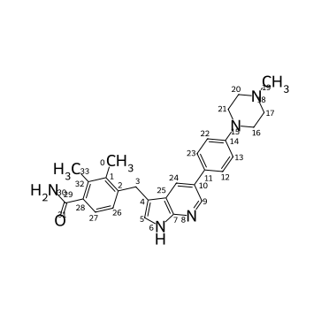 Cc1c(Cc2c[nH]c3ncc(-c4ccc(N5CCN(C)CC5)cc4)cc23)ccc(C(N)=O)c1C